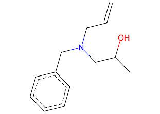 C=CCN(Cc1ccccc1)CC(C)O